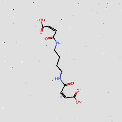 O=C(O)/C=C\C(=O)NCCCCNC(=O)/C=C\C(=O)O